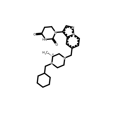 C[C@@H]1CN(Cc2ccn3ncc(N4CCC(=O)NC4=O)c3c2)CCN1CC1CCCCC1